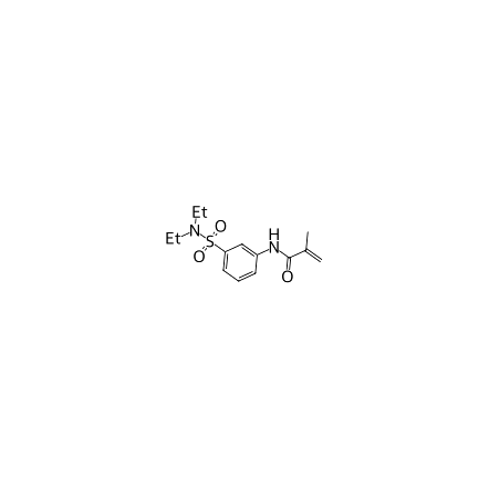 C=C(C)C(=O)Nc1cccc(S(=O)(=O)N(CC)CC)c1